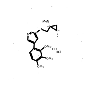 CN[C@]1(COc2cncc(-c3ccc(OC)c(OC)c3OC)c2)C[C@@H]1C.Cl.Cl